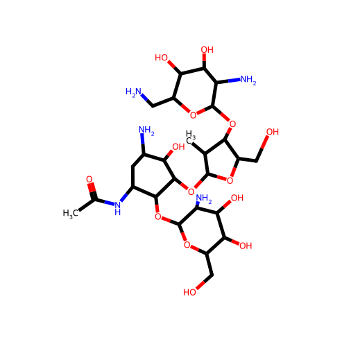 CC(=O)NC1CC(N)C(O)C(OC2OC(CO)C(OC3OC(CN)C(O)C(O)C3N)C2C)C1OC1OC(CO)C(O)C(O)C1N